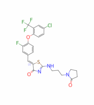 O=C1N=C(NCCCN2CCCC2=O)S/C1=C\c1ccc(Oc2ccc(Cl)cc2C(F)(F)F)c(F)c1